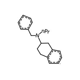 CCCN(Cc1ccccc1)C1CCc2c[c]ccc2C1